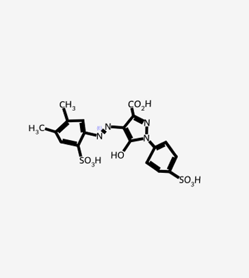 Cc1cc(/N=N/c2c(C(=O)O)nn(-c3ccc(S(=O)(=O)O)cc3)c2O)c(S(=O)(=O)O)cc1C